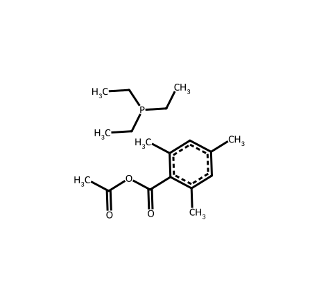 CC(=O)OC(=O)c1c(C)cc(C)cc1C.CCP(CC)CC